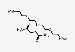 CNCCOCCOCCOCCNC.NC(=O)CCC(N)=O